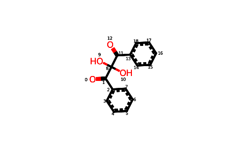 O=C(c1ccccc1)C(O)(O)C(=O)c1ccccc1